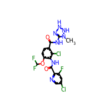 CN1NNN=C1NC(=O)c1ccc(OC(F)F)c(NC(=O)c2ncc(Cl)cc2F)c1Cl